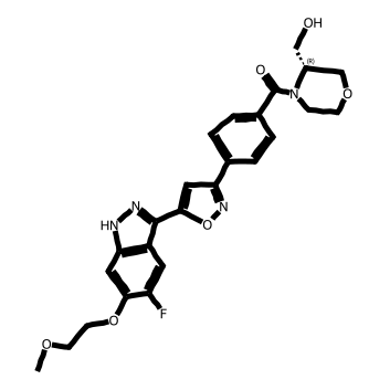 COCCOc1cc2[nH]nc(-c3cc(-c4ccc(C(=O)N5CCOC[C@H]5CO)cc4)no3)c2cc1F